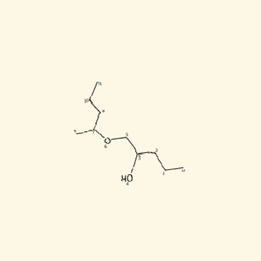 CCCC(O)COC(C)CCC